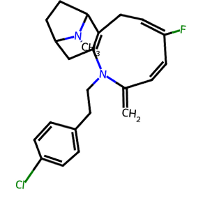 C=C1/C=C\C(F)=C/CC2=C(CC3CCC2N3C)N1CCc1ccc(Cl)cc1